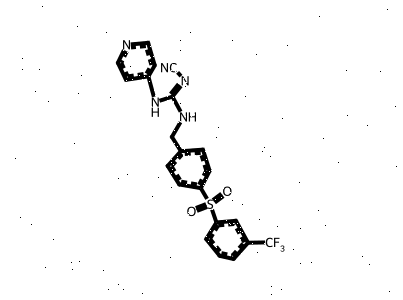 N#CN=C(NCc1ccc(S(=O)(=O)c2cccc(C(F)(F)F)c2)cc1)Nc1ccncc1